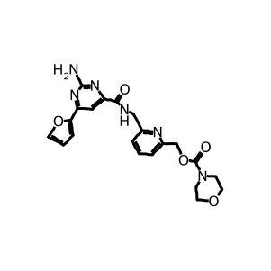 Nc1nc(C(=O)NCc2cccc(COC(=O)N3CCOCC3)n2)cc(-c2ccco2)n1